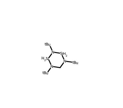 CC(C)(C)N1CN(C(C)(C)C)[SiH2]N(C(C)(C)C)[SiH2]1